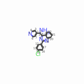 NC(c1ccncc1)c1nc(-c2ccc(Cl)cc2)nc2ccccc12